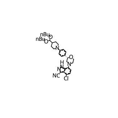 CCCCOC(OCCCC)C1CCN(c2ccc([C@H]3CN(c4ccc(Cl)c5c(C#N)n[nH]c45)CCO3)cc2)CC1